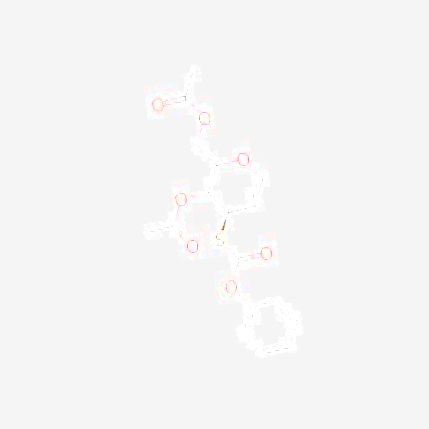 CC(=O)OCC1OC=C[C@@H](SC(=O)Oc2ccccc2)[C@@H]1OC(C)=O